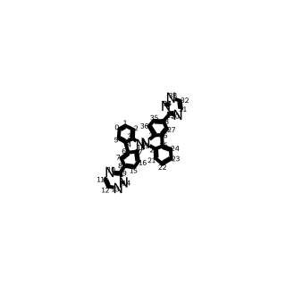 c1ccc2c(c1)c1cc(-c3nccnn3)ccc1n2-n1c2ccccc2c2cc(-c3nccnn3)ccc21